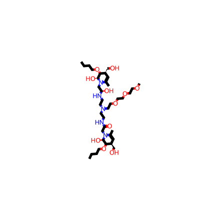 CCCCOC1[C@@H](O)N(CC(=O)NCCN(CCN[C@H](O)CN2C(C)=C[C@@H](CO)C(OCCCC)[C@H]2O)CCOCCOCCOC)C(C)=C[C@H]1CO